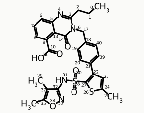 CCCc1nc2cccc(C(=O)O)c2c(=O)n1Cc1ccc(-c2cc(C)sc2S(=O)(=O)Nc2noc(C)c2C)cc1